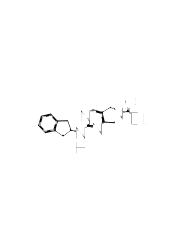 CCC(=O)N1Cc2cnc(NC3Cc4ccccc4C3)nc2C1